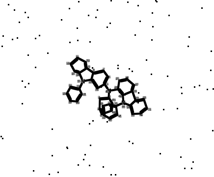 c1ccc(N(c2ccc3c4ccccc4n(-c4ccccc4)c3c2)c2cccc3c4ccccc4n(-c4ccccc4)c23)cc1